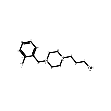 OCCCN1CCN(Cc2ccccc2Cl)CC1